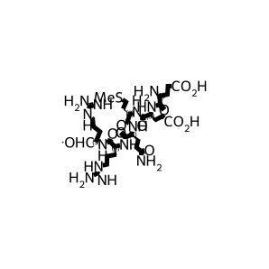 CSCC[C@H](NC(=O)[C@H](CCC(=O)O)NC(=O)[C@@H](N)CCC(=O)O)C(=O)N[C@@H](CCC(N)=O)C(=O)N[C@@H](CCCNC(=N)N)C(=O)N[C@H]([C]=O)CCCNC(=N)N